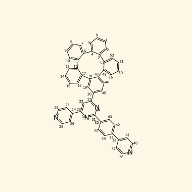 c1ccc2c(c1)c1ccccc1c1ccccc1c1cc(-c3cc(-c4ccncc4)nc(-c4ccc(-c5ccncc5)cc4)n3)ccc1c1ccccc21